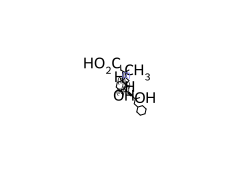 C/C(CCC(=O)O)=C1\C[C@@H]2[C@@H](C#CC(O)CC3CCCCC3)[C@H](O)CC[C@H]12